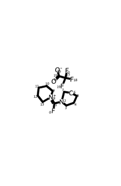 FC(N1CCCCC1)=[N+]1CCCCC1.O=C([O-])C(F)(F)F